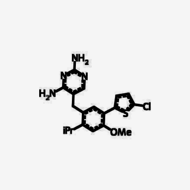 COc1cc(C(C)C)c(Cc2cnc(N)nc2N)cc1-c1ccc(Cl)s1